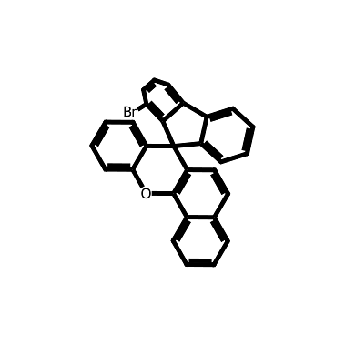 Brc1cccc2c1C1(c3ccccc3Oc3c1ccc1ccccc31)c1ccccc1-2